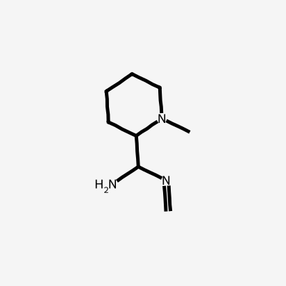 C=NC(N)C1CCCCN1C